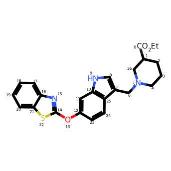 CCOC(=O)C1CCCN(Cc2c[nH]c3cc(Oc4nc5ccccc5s4)ccc23)C1